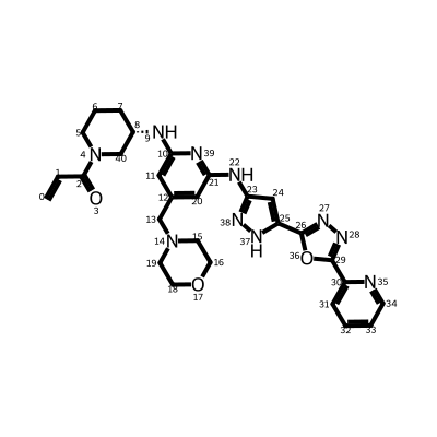 C=CC(=O)N1CCC[C@H](Nc2cc(CN3CCOCC3)cc(Nc3cc(-c4nnc(-c5ccccn5)o4)[nH]n3)n2)C1